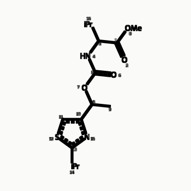 COC(=O)C(NC(=O)OC(C)c1csc(C(C)C)n1)C(C)C